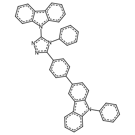 c1ccc(-n2c(-c3ccc(-c4ccc5c(c4)c4ccccc4n5-c4ccccc4)cc3)nnc2-n2c3ccccc3c3ccccc32)cc1